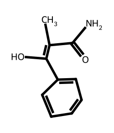 CC(C(N)=O)=C(O)c1ccccc1